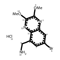 COc1nc2cc(Br)cc(CN)c2nc1OC.Cl